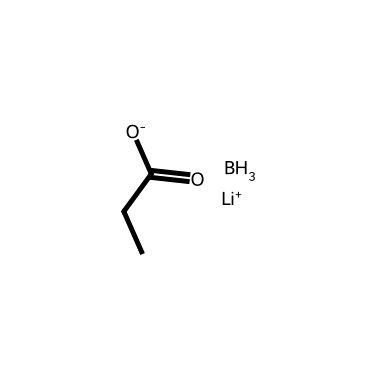 B.CCC(=O)[O-].[Li+]